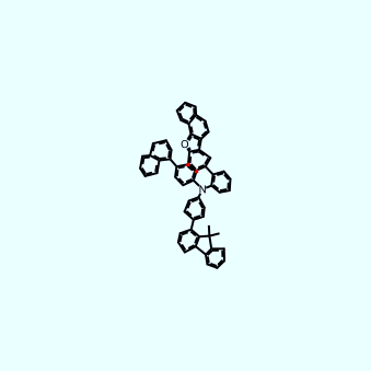 CC1(C)c2ccccc2-c2cccc(-c3ccc(N(c4ccc(-c5cccc6ccccc56)cc4)c4ccccc4-c4ccc5oc6c7ccccc7ccc6c5c4)cc3)c21